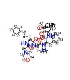 CC(C)C[C@H](NC(=O)[C@@H](CCCc1ccccc1)NC(=O)CN1CCOCC1)C(=O)N[C@H](Cc1ccccc1)C(=O)N[C@H](CC(C)C)C(=O)[C@]1(C)CO1